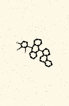 Fc1ccc(-c2c3ccccc3c(-c3cccc4c3ccc3ccccc34)c3ccccc23)c(F)c1F